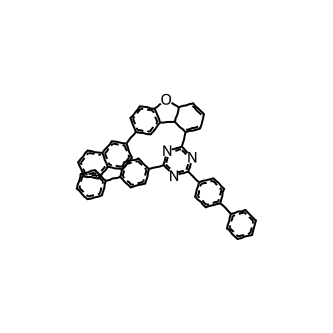 C1=CC2Oc3ccc(-c4ccc5ccccc5c4)cc3C2C(c2nc(-c3ccc(-c4ccccc4)cc3)nc(-c3ccc(-c4ccccc4)cc3)n2)=C1